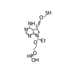 CC[C@@H](OCCOPO)n1cc(C#COCS)c2c(N)ncnc21